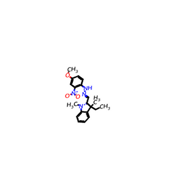 CCC1(C)C(/C=N/Nc2ccc(OC)cc2[N+](=O)[O-])=[N+](C)c2ccccc21